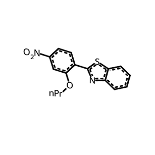 CCCOc1cc([N+](=O)[O-])ccc1-c1nc2ccccc2s1